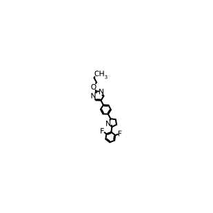 CCCOc1ncc(-c2ccc(C3CCC(c4c(F)cccc4F)=N3)cc2)cn1